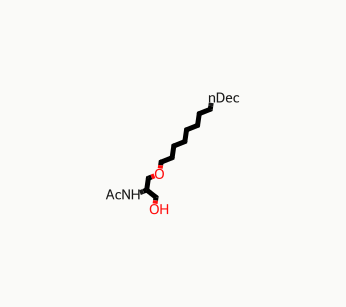 CCCCCCCCCCCCCCCCCCOCC(CO)NC(C)=O